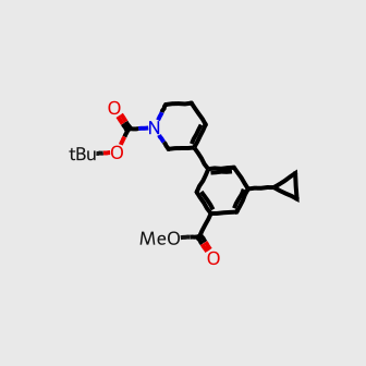 COC(=O)c1cc(C2=CCCN(C(=O)OC(C)(C)C)C2)cc(C2CC2)c1